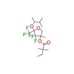 CCC(C)(C)C(=O)OC1(C)COC(OC(C)C(C)C)(C(F)(F)F)C1(F)F